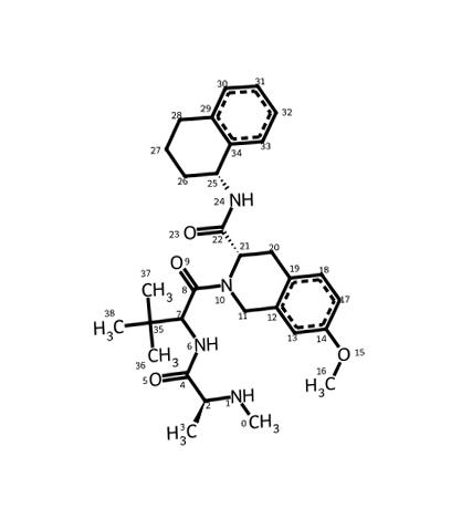 CN[C@@H](C)C(=O)NC(C(=O)N1Cc2cc(OC)ccc2C[C@H]1C(=O)N[C@@H]1CCCc2ccccc21)C(C)(C)C